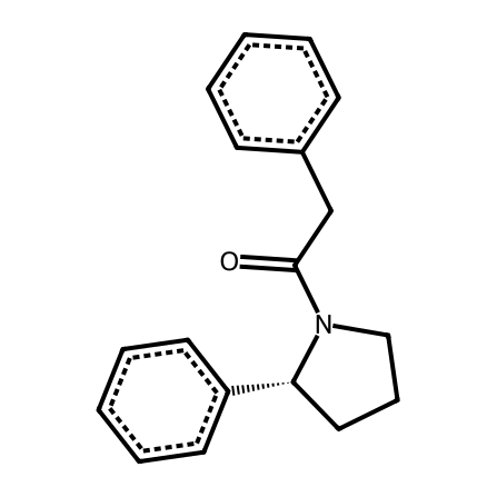 O=C(Cc1ccccc1)N1CCC[C@@H]1c1ccccc1